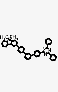 C[Si]1(C)c2ccccc2-c2cc(-c3ccc(-c4cccc(-c5ccc(-c6nc(-c7ccccc7)nc(-c7ccccc7)n6)cc5)c4)cc3)ccc21